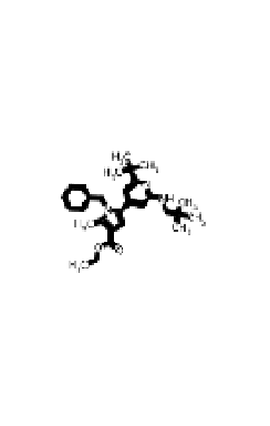 CCOC(=O)c1cc(-c2cc(NCC(C)(C)C)nc(C(C)(C)C)c2)n(CC2CCCCC2)c1C